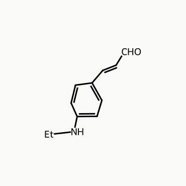 CCNc1ccc(C=CC=O)cc1